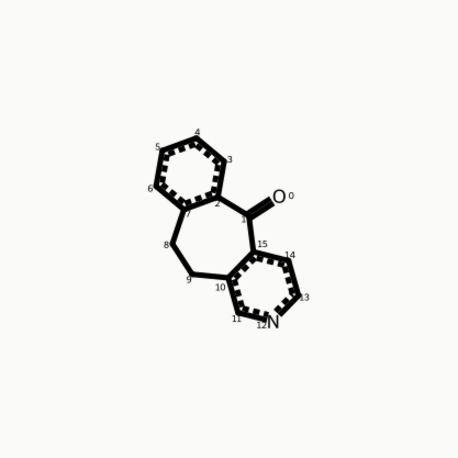 O=C1c2ccccc2CCc2cnccc21